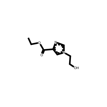 CCOC(=O)c1cn(CCO)cn1